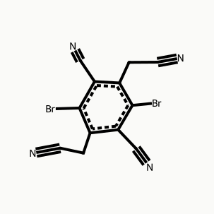 N#CCc1c(Br)c(C#N)c(CC#N)c(Br)c1C#N